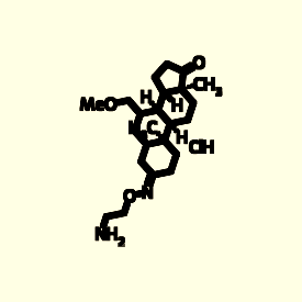 COCC1CC2CC(=NOCCN)CC[C@]2(C)[C@@H]2CC[C@]3(C)C(=O)CC[C@H]3[C@H]12.Cl